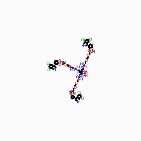 CN1Cc2c(Cl)cc(Cl)cc2[C@H](c2cccc(S(=O)(=O)NCCOCCOCCNC(=O)NCCC(CCNC(=O)NCCOCCOCCNS(=O)(=O)c3cccc([C@@H]4CN(C)Cc5c(Cl)cc(Cl)cc54)c3)(CCNC(=O)NCCOCCOCCNS(=O)(=O)c3cccc([C@@H]4CN(C)Cc5c(Cl)cc(Cl)cc54)c3)NC(=O)O)c2)C1